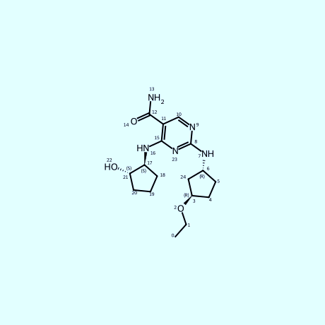 CCO[C@@H]1CC[C@@H](Nc2ncc(C(N)=O)c(N[C@H]3CCC[C@@H]3O)n2)C1